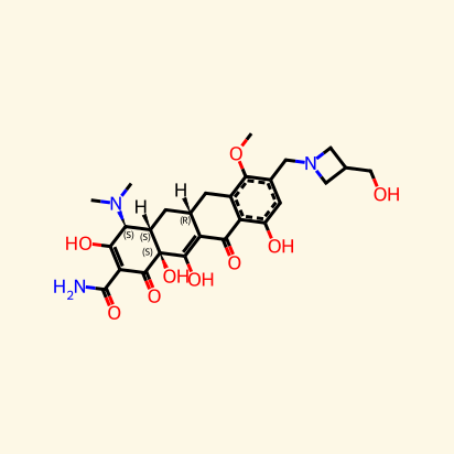 COc1c(CN2CC(CO)C2)cc(O)c2c1C[C@H]1C[C@H]3[C@H](N(C)C)C(O)=C(C(N)=O)C(=O)[C@@]3(O)C(O)=C1C2=O